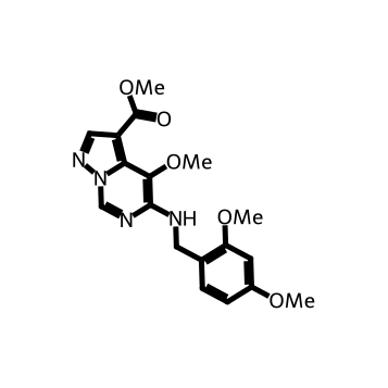 COC(=O)c1cnn2cnc(NCc3ccc(OC)cc3OC)c(OC)c12